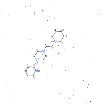 c1ccc(N2CCN(CCN3CCCCC3)CC2)nc1